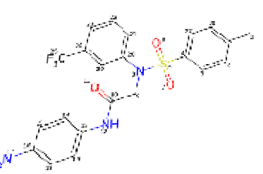 Cc1ccc(S(=O)(=O)N(CC(=O)Nc2ccc(N)cc2)c2cccc(C(F)(F)F)c2)cc1